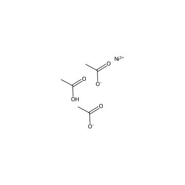 CC(=O)O.CC(=O)[O-].CC(=O)[O-].[Ni+2]